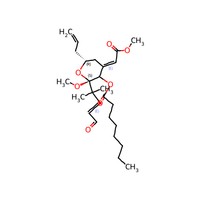 C=CC[C@@H]1C/C(=C\C(=O)OC)C(OC(=O)CCCCCCC)[C@](OC)(C(C)(C)/C=C/C=O)O1